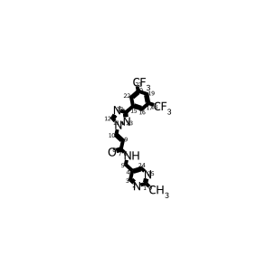 Cc1ncc(CNC(=O)C=Cn2cnc(-c3cc(C(F)(F)F)cc(C(F)(F)F)c3)n2)cn1